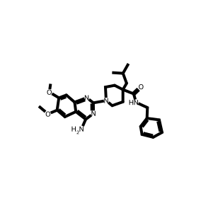 COc1cc2nc(N3CCC(CC(C)C)(C(=O)NCc4ccccc4)CC3)nc(N)c2cc1OC